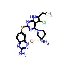 CCc1[nH]c2nc(Sc3ccc4nc(N)n[n+]([O-])c4c3)nc(N3CC[C@@H](N)C3)c2c1Cl